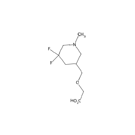 CN1CC(COCC(=O)O)CC(F)(F)C1